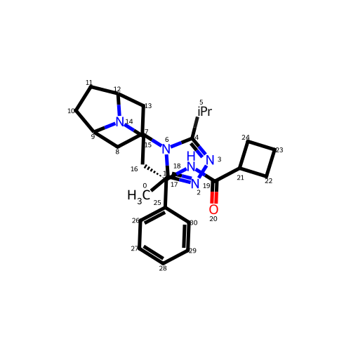 Cc1nnc(C(C)C)n1C1CC2CCC(C1)N2CC[C@H](NC(=O)C1CCC1)c1ccccc1